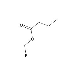 CCCC(=O)OCF